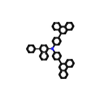 c1ccc(-c2ccc(N(c3ccc(-c4cc5ccccc5c5ccccc45)cc3)c3ccc(-c4cc5ccccc5c5ccccc45)cc3)c3ccccc23)cc1